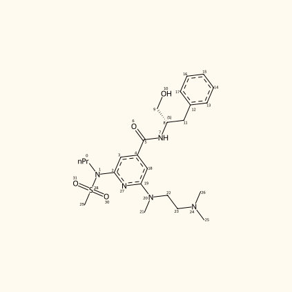 CCCN(c1cc(C(=O)N[C@H](CO)Cc2ccccc2)cc(N(C)CCN(C)C)n1)S(C)(=O)=O